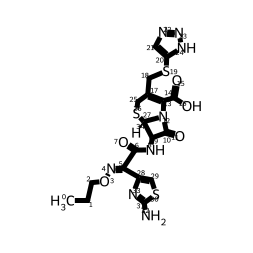 CCCO/N=C(/C(=O)NC1C(=O)N2C(C(=O)O)=C(CSc3cnn[nH]3)CS[C@H]12)c1csc(N)n1